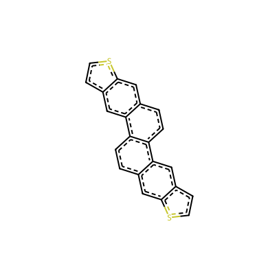 c1cc2cc3c(ccc4c5cc6ccsc6cc5ccc34)cc2s1